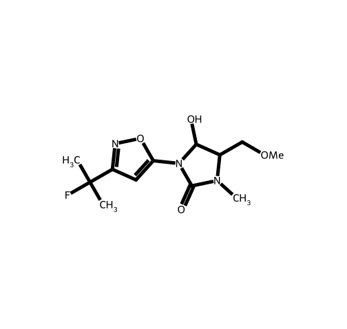 COCC1C(O)N(c2cc(C(C)(C)F)no2)C(=O)N1C